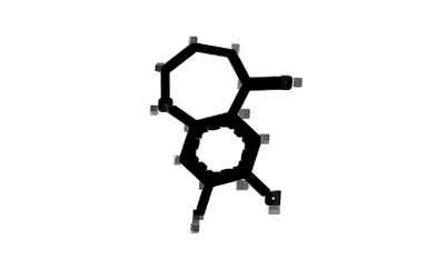 O=C1CCCOc2cc(F)c(Cl)cc21